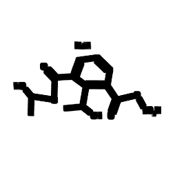 CC(O)OC(=O)c1cccc(C(=O)OS(=O)(=O)O)c1C(C)O.[NaH]